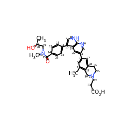 Cc1cc(-c2cnc3[nH]cc(-c4ccc(C(=O)N(C)C[C@H](C)O)cc4)c3c2)cc2c1CN(CCC(=O)O)CC2